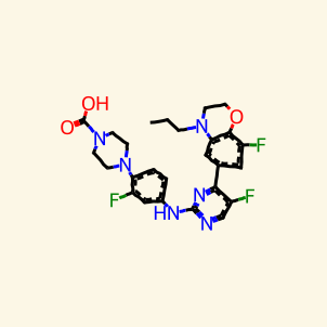 CCCN1CCOc2c(F)cc(-c3nc(Nc4ccc(N5CCN(C(=O)O)CC5)c(F)c4)ncc3F)cc21